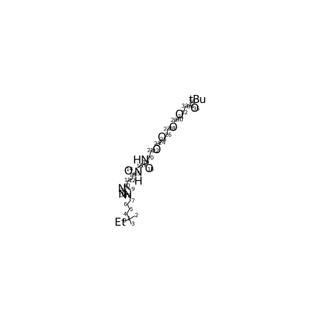 CCC(C)(C)CCCCn1cc(CCC(=O)NCC(=O)NCCOCCOCCOCCOCCC(=O)C(C)(C)C)nn1